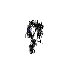 CC[C@@H]1CN(C(=O)NCC(F)(F)F)C[C@@H]1C1CN=C2C=Nc3c(ccn3C(=O)N(C)CCN(C)C(=O)OCc3ccc(/N=N/c4ccc(O)c(C(=O)NCCCCC(=O)Oc5c(OC)ccc6cc7[n+](cc56)CCc5cc6c(cc5-7)OCO6)c4)cc3)N21